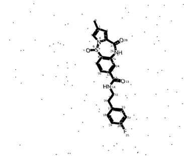 Cc1cc2n(c1)[S+]([O-])c1ccc(C(=O)NCCc3ccc(F)cc3)cc1NC2=O